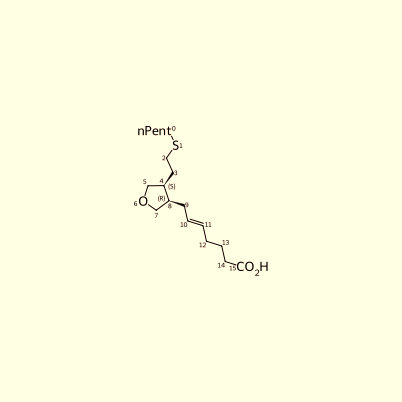 CCCCCSCC[C@@H]1COC[C@@H]1CC=CCCCC(=O)O